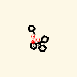 COB(OCc1ccccc1)OC(c1ccccc1)(c1ccccc1)c1ccccc1